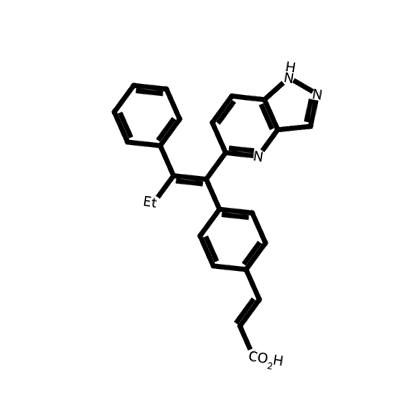 CCC(=C(c1ccc(C=CC(=O)O)cc1)c1ccc2[nH]ncc2n1)c1ccccc1